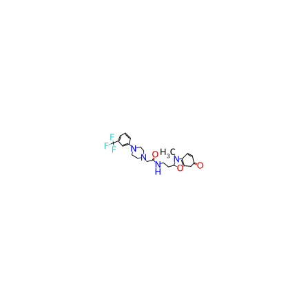 CN1C2=C(CC(=O)C=C2)OC1CCNC(=O)CN1CCN(c2cccc(C(F)(F)F)c2)CC1